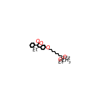 CCO[Si](C)(CCCCCCCCOc1ccc2cc(-c3ccccc3CC)c(=O)oc2c1)OCC